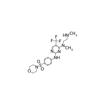 CNCCN(C)c1nc(Nc2ccc(S(=O)(=O)N3CCOCC3)cc2)ncc1C(F)(F)F